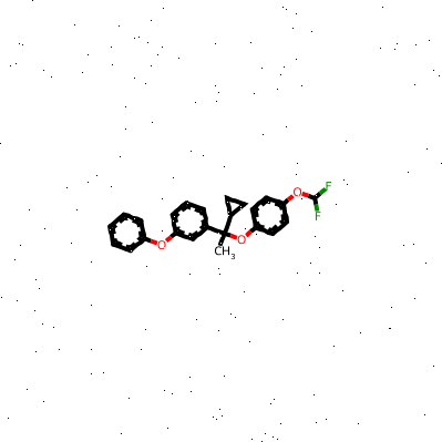 CC(Oc1ccc(OC(F)F)cc1)(c1cccc(Oc2ccccc2)c1)C1CC1